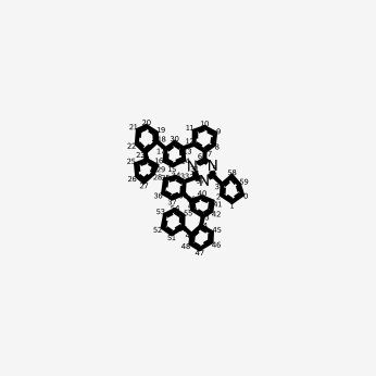 c1ccc(-c2nc(-c3ccccc3-c3cccc(-c4ccccc4-c4ccccc4)c3)nc(-c3ccccc3-c3cccc(-c4ccccc4-c4ccccc4)c3)n2)cc1